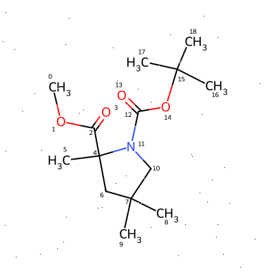 COC(=O)C1(C)CC(C)(C)CN1C(=O)OC(C)(C)C